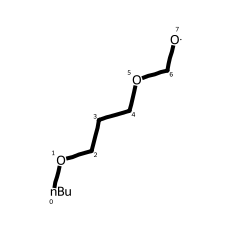 CCCCOCCCOC[O]